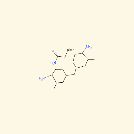 CC1CC(CC2CCC(N)C(C)C2)CCC1N.CCCCCCCCCCCC(N)=O